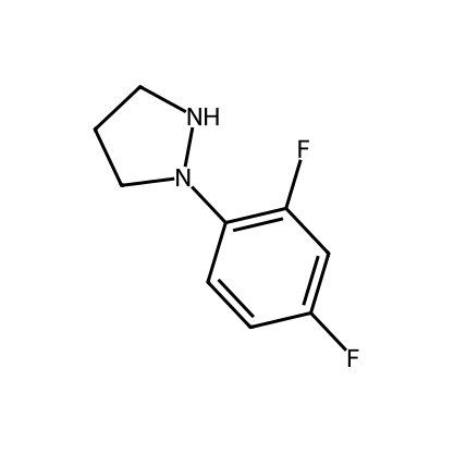 Fc1ccc(N2CCCN2)c(F)c1